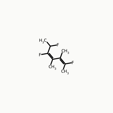 C/C(F)=C(C)\C(C)=C(\F)C(C)F